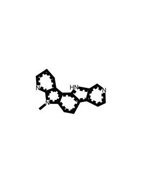 Cn1c2ccc3c4ccncc4[nH]c3c2c2cccnc21